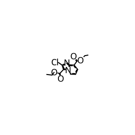 CCOC(=O)c1cccn2c(C(=O)OCC)c(Cl)nc12